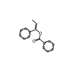 CC=C(OC(=O)c1ccccc1)c1ccccc1